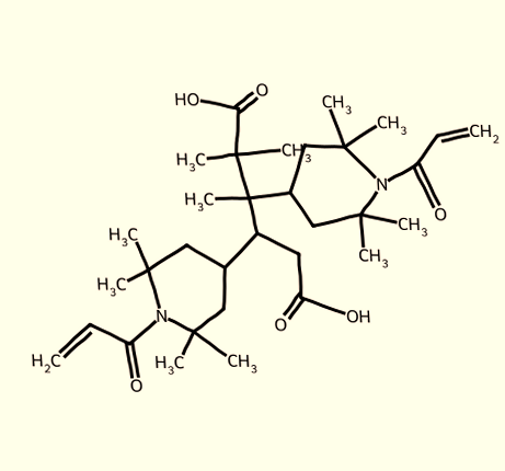 C=CC(=O)N1C(C)(C)CC(C(CC(=O)O)C(C)(C2CC(C)(C)N(C(=O)C=C)C(C)(C)C2)C(C)(C)C(=O)O)CC1(C)C